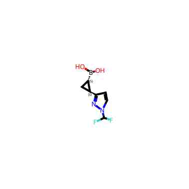 OB(O)[C@H]1C[C@@H]1c1ccn(C(F)F)n1